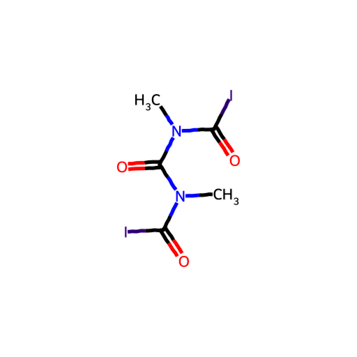 CN(C(=O)I)C(=O)N(C)C(=O)I